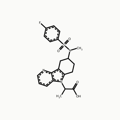 CC(C(=O)O)n1c2c(c3ncccc31)CC(N(C)S(=O)(=O)c1ccc(F)cc1)CC2